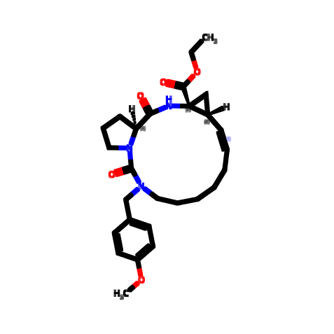 CCOC(=O)[C@@]12C[C@@H]1/C=C\CCCCCN(Cc1ccc(OC)cc1)C(=O)N1CCC[C@H]1C(=O)N2